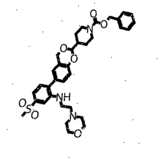 CS(=O)(=O)c1ccc(-c2ccc3c(c2)COC(C2CCN(C(=O)OCc4ccccc4)CC2)O3)c(NCCN2CCOCC2)c1